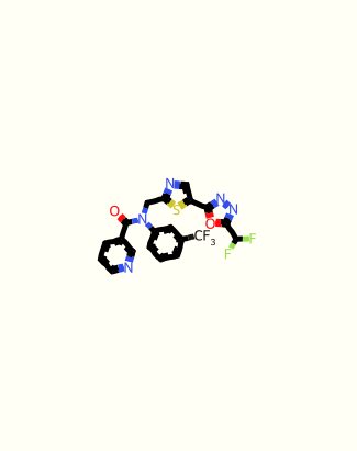 O=C(c1cccnc1)N(Cc1ncc(-c2nnc(C(F)F)o2)s1)c1cccc(C(F)(F)F)c1